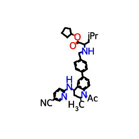 CC(=O)N1c2ccc(-c3ccc(CNC(CC(C)C)C(=O)OC4CCCC4)cc3)cc2[C@H](Nc2ccc(C#N)cn2)C[C@@H]1C